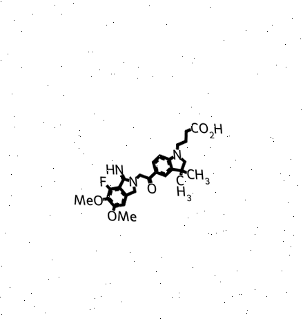 COc1cc2c(c(F)c1OC)C(=N)N(CC(=O)c1ccc3c(c1)C(C)(C)CN3CCCC(=O)O)C2